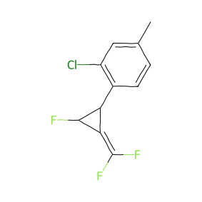 Cc1ccc(C2C(=C(F)F)C2F)c(Cl)c1